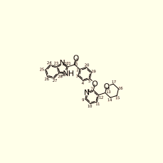 O=C(c1ccc(Oc2ncccc2C2CCCCO2)cc1)c1nc2ccccc2[nH]1